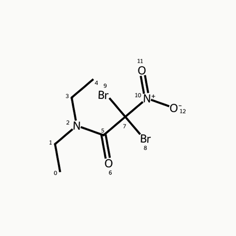 CCN(CC)C(=O)C(Br)(Br)[N+](=O)[O-]